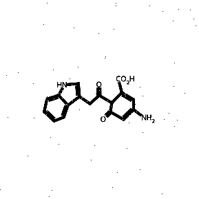 NC1=CC(=O)C(C(=O)Cc2c[nH]c3ccccc23)C(C(=O)O)=C1